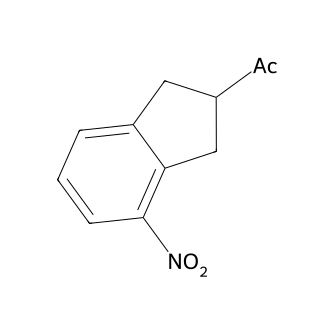 CC(=O)C1Cc2cccc([N+](=O)[O-])c2C1